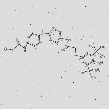 CCC(=O)Nc1ccc(Nc2ccc(NC(=O)CCc3cc(C(C)(C)C)c(O)c(C(C)(C)C)c3)cc2)cc1